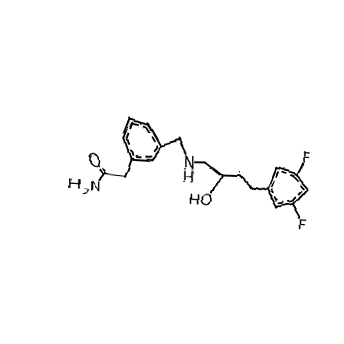 NC(=O)Cc1cccc(CNCC(O)[CH]Cc2cc(F)cc(F)c2)c1